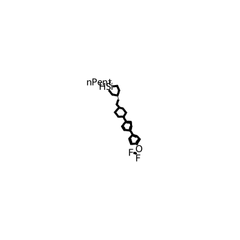 CCCCC[Si@H]1CC[C@H](CCC2CCC(c3ccc(-c4ccc(OC(F)F)cc4)cc3)CC2)CC1